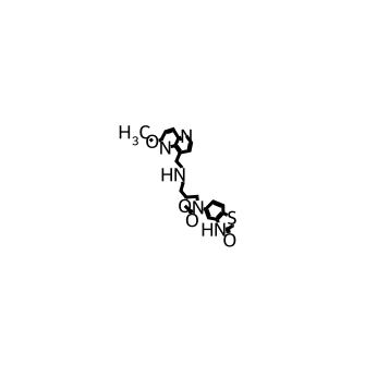 COc1ccc2nccc(CCNCCC3CN(c4ccc5c(c4)NC(=O)CS5)C(=O)O3)c2n1